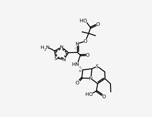 CCC1=C(C(=O)O)N2C(=O)[C@H](NC(=O)/C(=N\OC(C)(C)C(=O)O)c3nsc(N)n3)C2SC1